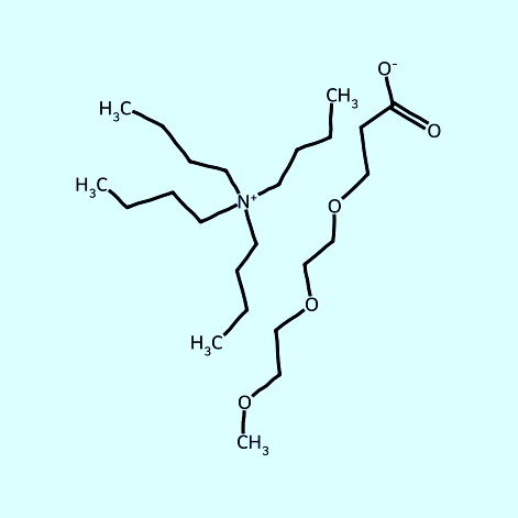 CCCC[N+](CCCC)(CCCC)CCCC.COCCOCCOCCC(=O)[O-]